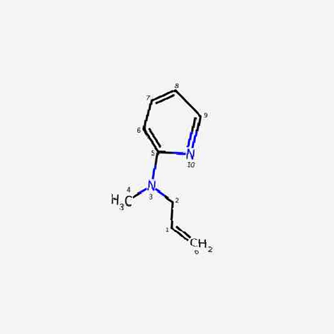 C=CCN(C)c1ccccn1